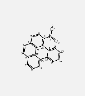 O=[N+]([O-])c1ccc2ccc3cccc4c5ccccc5c1c2c34